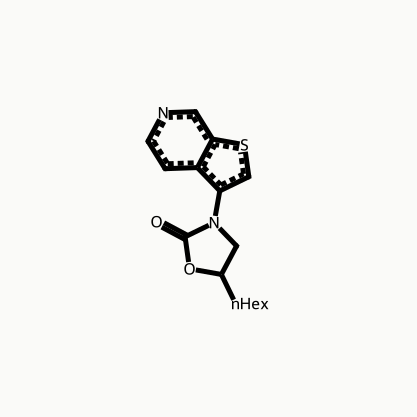 CCCCCCC1CN(c2csc3cnccc23)C(=O)O1